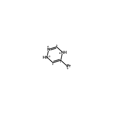 CC(C)C1=CNN=CN1